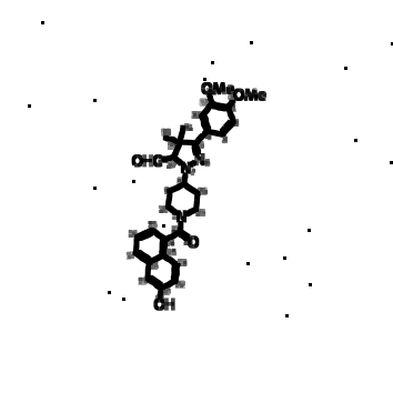 COc1ccc(C2=NN(C3CCN(C(=O)c4cccc5cc(O)ccc45)CC3)C(C=O)C2(C)C)cc1OC